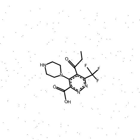 CCC(=O)c1c(C(F)(F)F)nnc(C(=O)O)c1N1CCNCC1